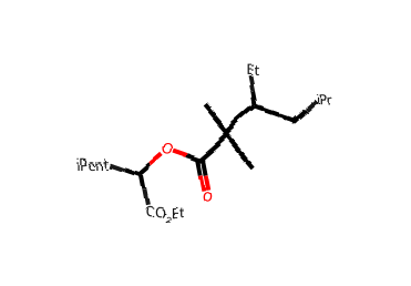 CCCC(C)C(OC(=O)C(C)(C)C(CC)CC(C)C)C(=O)OCC